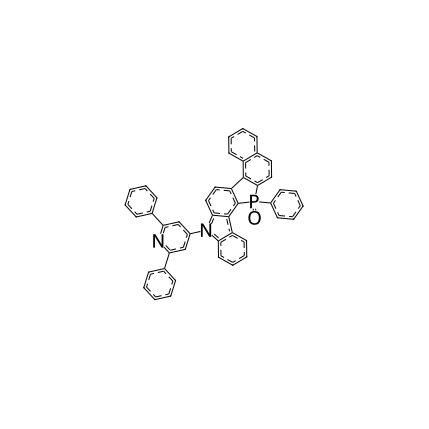 O=P1(c2ccccc2)c2ccc3ccccc3c2-c2ccc3c(c21)c1ccccc1n3-c1cc(-c2ccccc2)nc(-c2ccccc2)c1